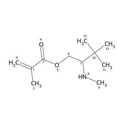 C=C(C)C(=O)OCC(NC)C(C)(C)C